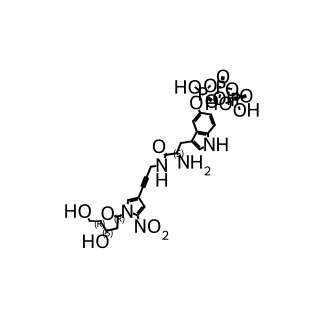 N[C@@H](Cc1c[nH]c2ccc(OP(=O)(O)OP(=O)(O)OP(=O)(O)O)cc12)C(=O)NCC#Cc1cc([N+](=O)[O-])n([C@H]2C[C@H](O)[C@@H](CO)O2)c1